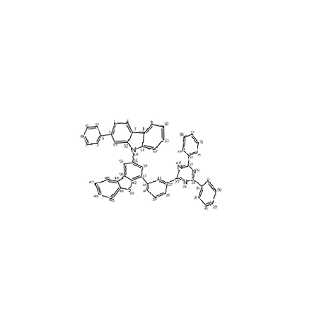 c1ccc(-c2ccc3c4ccccc4n(-c4cc(-c5cccc(-c6nc(-c7ccccc7)nc(-c7ccccc7)n6)c5)c5sc6ccccc6c5c4)c3c2)cc1